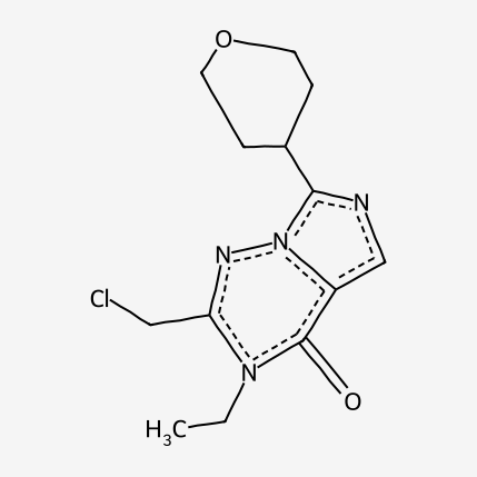 CCn1c(CCl)nn2c(C3CCOCC3)ncc2c1=O